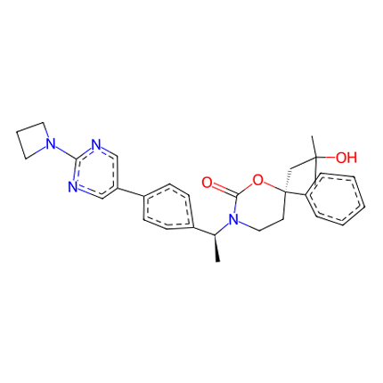 C[C@@H](c1ccc(-c2cnc(N3CCC3)nc2)cc1)N1CC[C@](CC(C)(C)O)(c2ccccc2)OC1=O